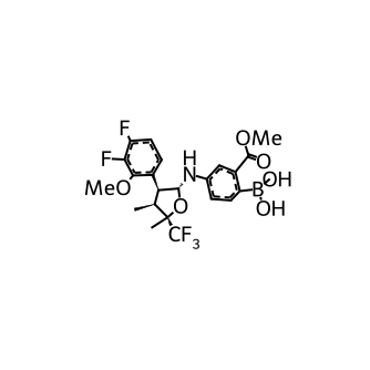 COC(=O)c1cc(N[C@@H]2O[C@@](C)(C(F)(F)F)[C@@H](C)[C@H]2c2ccc(F)c(F)c2OC)ccc1B(O)O